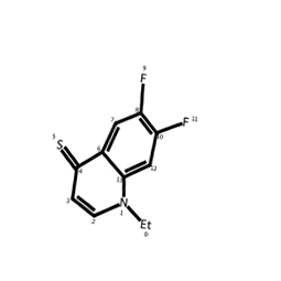 CCn1ccc(=S)c2cc(F)c(F)cc21